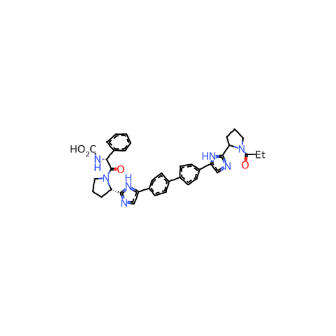 CCC(=O)N1CCCC1c1ncc(-c2ccc(-c3ccc(-c4cnc([C@@H]5CCCN5C(=O)[C@H](NC(=O)O)c5ccccc5)[nH]4)cc3)cc2)[nH]1